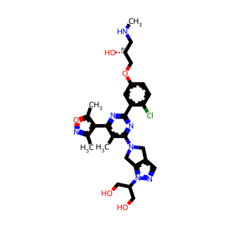 CNC[C@@H](O)COc1ccc(Cl)c(-c2nc(-c3c(C)noc3C)c(C)c(N3Cc4cnn(C(CO)CO)c4C3)n2)c1